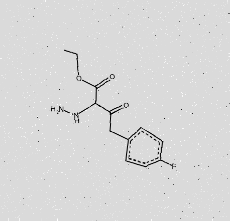 CCOC(=O)C(NN)C(=O)Cc1ccc(F)cc1